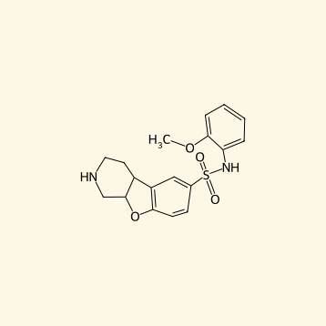 COc1ccccc1NS(=O)(=O)c1ccc2c(c1)C1CCNCC1O2